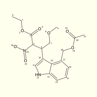 CCOC(=O)C(C(COC)c1c[nH]c2cccc(COC(C)=O)c12)[N+](=O)[O-]